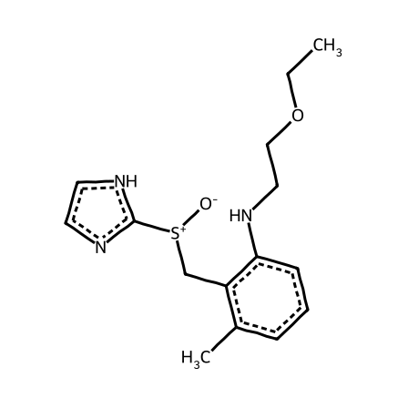 CCOCCNc1cccc(C)c1C[S+]([O-])c1ncc[nH]1